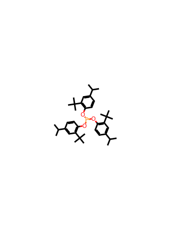 CC(C)c1ccc(OP(Oc2ccc(C(C)C)cc2C(C)(C)C)Oc2ccc(C(C)C)cc2C(C)(C)C)c(C(C)(C)C)c1